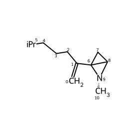 C=C(CCCC(C)C)C12CC1[N@]2C